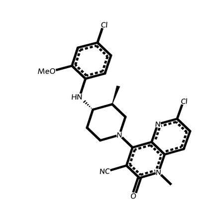 COc1cc(Cl)ccc1N[C@H]1CCN(c2c(C#N)c(=O)n(C)c3ccc(Cl)nc23)C[C@@H]1C